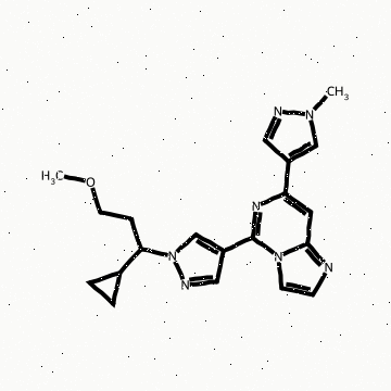 COCCC(C1CC1)n1cc(-c2nc(-c3cnn(C)c3)cc3nccn23)cn1